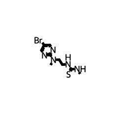 CNC(=S)NCCN(C)c1ncc(Br)cn1